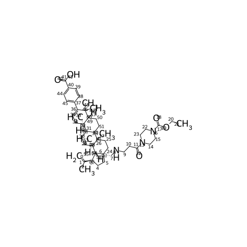 C=C(C)[C@@H]1CC[C@]2(CNCCC(=O)N3CCN(C(=O)OCC)CC3)CC[C@]3(C)[C@H](CC[C@@H]4[C@@]5(C)CC=C(c6ccc(C(=O)O)cc6)C(C)(C)[C@@H]5CC[C@]43C)[C@@H]12